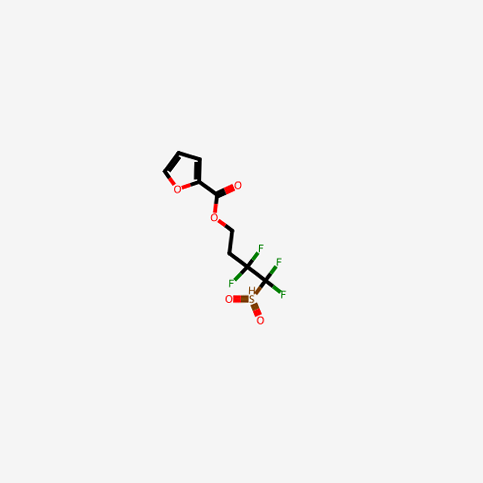 O=C(OCCC(F)(F)C(F)(F)[SH](=O)=O)c1ccco1